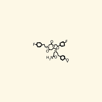 COc1ccc(CCN(CC(N)=O)C(=O)C2CC(=O)N(CCc3ccc(F)cc3)CC(=O)N2CCc2ccc(F)cc2)cc1